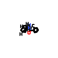 Cc1ccccc1C(=O)NC1[C@H]2C[C@@H]3C[C@@H](C[C@H]1C3)C2